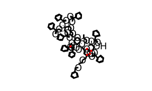 CC(OC[C@H]1O[C@@H](OCCOCCOCc2ccccc2)[C@H](OC(=O)c2ccccc2)[C@@H](O)[C@@H]1OC(=O)c1ccccc1)[C@@H]1O[C@H](COCO[C@H](COC(=O)c2ccccc2)[C@@H](OC(=O)c2ccccc2)[C@@H](COC(=O)c2ccccc2)OC(=O)c2ccccc2)[C@@H](OC(=O)c2ccccc2)[C@H](OC(=O)c2ccccc2)[C@H]1OC(=O)c1ccccc1